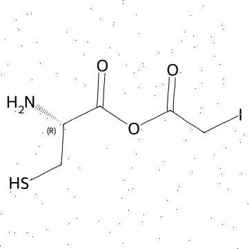 N[C@@H](CS)C(=O)OC(=O)CI